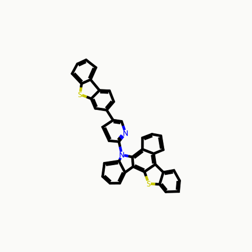 c1ccc2c(c1)sc1cc(-c3ccc(-n4c5ccccc5c5c6sc7ccccc7c6c6ccccc6c54)nc3)ccc12